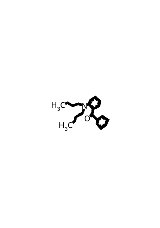 CCCCN(CCCC)c1ccccc1C(=O)c1ccccc1